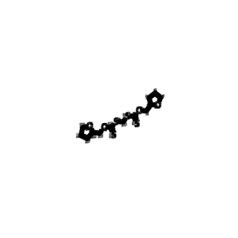 S=C(OCC1CCCO1)SCSC(=S)OCC1CCCO1